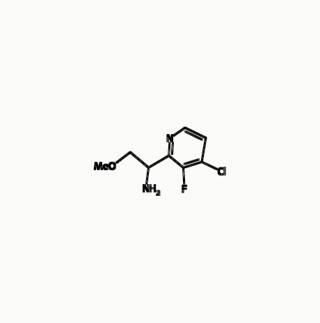 COCC(N)c1nccc(Cl)c1F